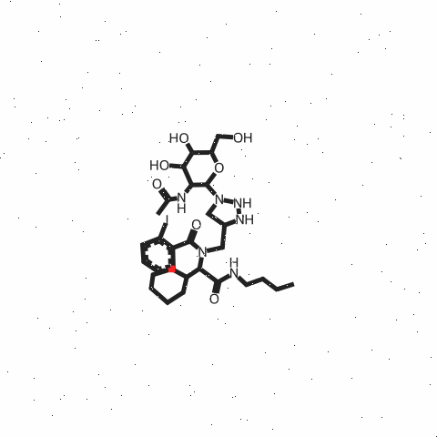 CCCCNC(=O)C(C1CCCCC1)N(CC1CN(C2OC(CO)C(O)C(O)C2NC(C)=O)NN1)C(=O)c1ccccc1I